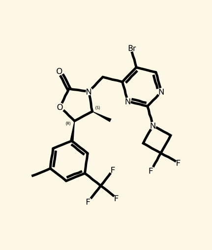 Cc1cc([C@H]2OC(=O)N(Cc3nc(N4CC(F)(F)C4)ncc3Br)[C@H]2C)cc(C(F)(F)F)c1